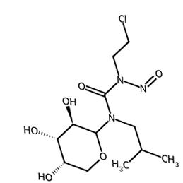 CC(C)CN(C(=O)N(CCCl)N=O)C1OC[C@H](O)[C@H](O)[C@H]1O